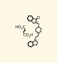 O=C(O)/C=C/C(=O)O.O=C1c2ccccc2CN1CC1CCN(CCN2CCc3ccccc32)CC1